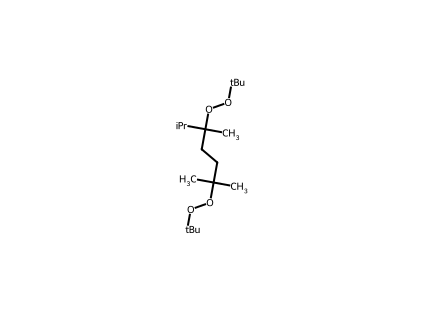 CC(C)C(C)(CCC(C)(C)OOC(C)(C)C)OOC(C)(C)C